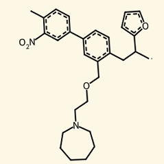 [CH2]C(Cc1ccc(-c2ccc(C)c([N+](=O)[O-])c2)cc1COCCN1CCCCCC1)c1ccco1